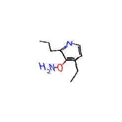 CCCc1nccc(CC)c1ON